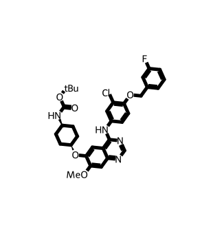 COc1cc2ncnc(Nc3ccc(OCc4cccc(F)c4)c(Cl)c3)c2cc1O[C@H]1CC[C@H](NC(=O)OC(C)(C)C)CC1